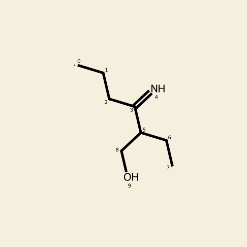 [CH2]CCC(=N)C(CC)CO